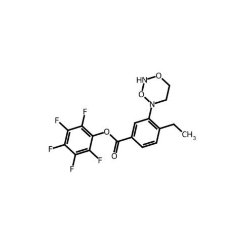 CCc1ccc(C(=O)Oc2c(F)c(F)c(F)c(F)c2F)cc1N1CCONO1